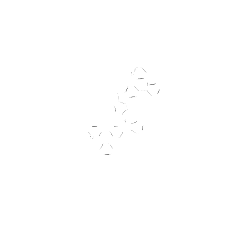 c1ccc(-c2ccccc2-c2ccc3c(c2)c2ccccc2n3-c2ccc3sc4cc(-c5ccccn5)c(-c5ccccn5)cc4c3c2)nc1